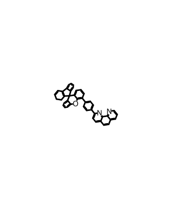 C1=CC2=C(CC1)C1(c3ccccc3Oc3c(-c4ccc(-c5ccc6ccc7cccnc7c6n5)cc4)cccc31)c1ccccc12